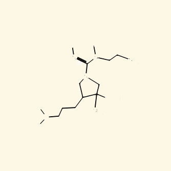 CCN(CCN)/C(=N\C)N1CC(CCCB(O)O)C(N)(C(=O)O)C1